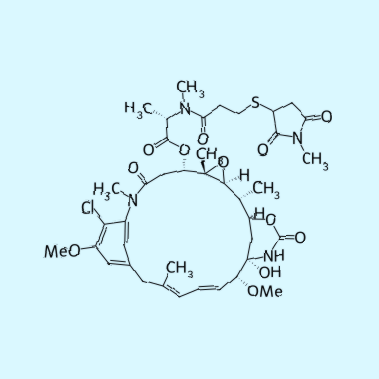 COc1cc2cc(c1Cl)N(C)C(=O)C[C@H](OC(=O)[C@H](C)N(C)C(=O)CCSC1CC(=O)N(C)C1=O)[C@]1(C)O[C@H]1[C@H](C)[C@@H]1C[C@@](O)(NC(=O)O1)[C@H](OC)/C=C/C=C(\C)C2